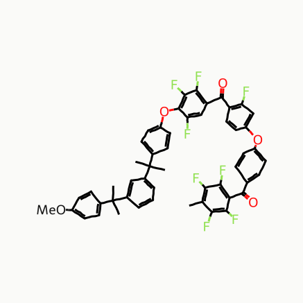 COc1ccc(C(C)(C)c2cccc(C(C)(C)c3ccc(Oc4c(F)cc(C(=O)c5ccc(Oc6ccc(C(=O)c7c(F)c(F)c(C)c(F)c7F)cc6)cc5F)c(F)c4F)cc3)c2)cc1